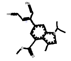 COC(=O)c1cc(/C(C=N)=C/C=N)cc2c1c(C)cn2C(C)C